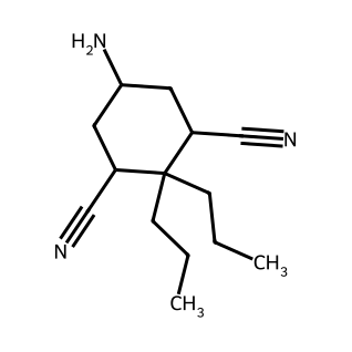 CCCC1(CCC)C(C#N)CC(N)CC1C#N